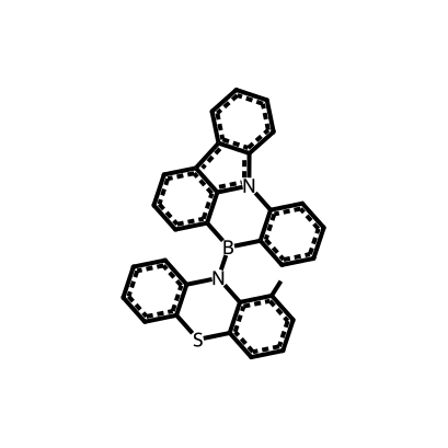 Cc1cccc2c1N(B1c3ccccc3-n3c4ccccc4c4cccc1c43)c1ccccc1S2